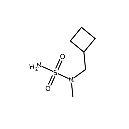 CN(CC1CCC1)S(N)(=O)=O